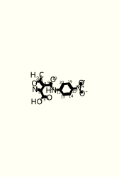 Cc1onc(C(=O)O)c1C(=O)Nc1ccc([N+](=O)[O-])cc1